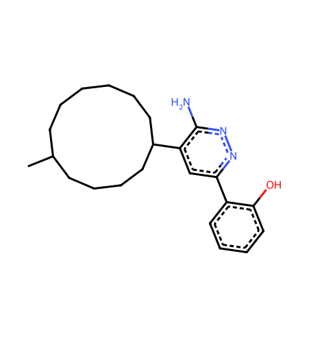 CC1CCCCCCC(c2cc(-c3ccccc3O)nnc2N)CCCC1